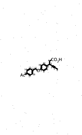 CC#CC(CC(=O)O)c1ccc(OCc2ccc(C(C)=O)cc2)cc1